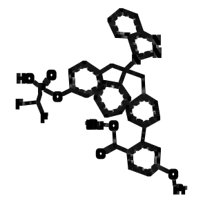 CC(C)Oc1ccc(C(=O)OC(C)(C)C)c(-c2ccc(CC(Cc3ccc(OP(=O)(O)C(F)F)cc3)(c3ccccc3)n3nnc4ccccc43)cc2)c1